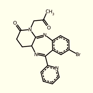 CC(=O)CN1C(=O)CCC2N=C(c3ccccn3)c3cc(Br)ccc3N=C21